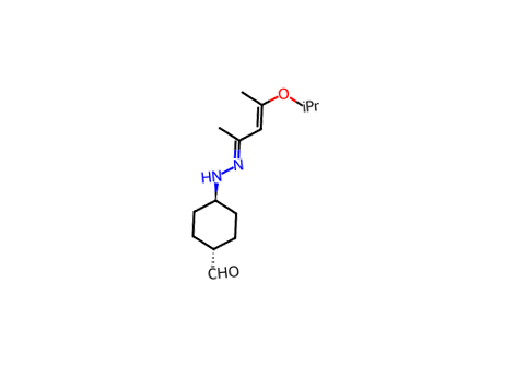 C/C(=C\C(C)=N\N[C@H]1CC[C@H](C=O)CC1)OC(C)C